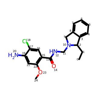 CCC1c2ccccc2CN1CNC(=O)c1cc(Cl)c(N)cc1OC